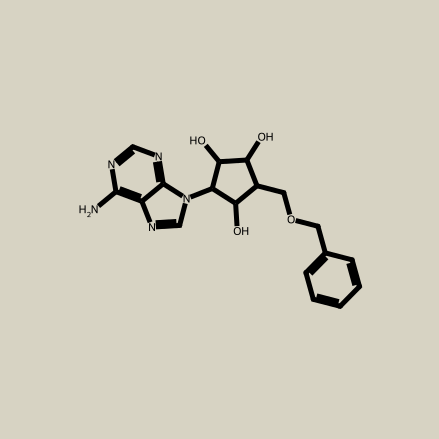 Nc1ncnc2c1ncn2C1C(O)C(O)C(COCc2ccccc2)C1O